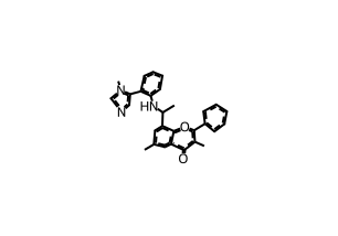 Cc1cc(C(C)Nc2ccccc2-c2cncn2C)c2oc(-c3ccccc3)c(C)c(=O)c2c1